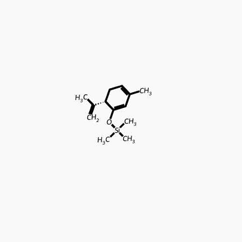 C=C(C)[C@@H]1CC=C(C)C=C1O[Si](C)(C)C